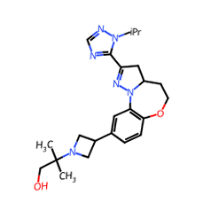 CC(C)n1ncnc1C1=NN2c3cc(C4CN(C(C)(C)CO)C4)ccc3OCCC2C1